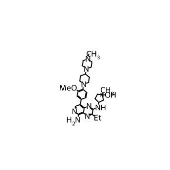 CCc1nc2c(N)ncc(-c3ccc(N4CCC(N5CCN(C)CC5)CC4)c(OC)c3)c2nc1NC1CC[C@](C)(O)C1